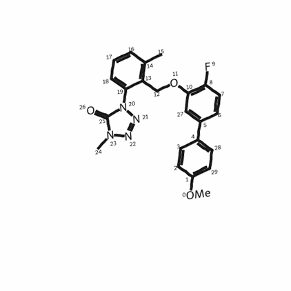 COc1ccc(-c2ccc(F)c(OCc3c(C)cccc3-n3nnn(C)c3=O)c2)cc1